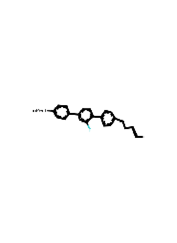 C/C=C/CCc1ccc(-c2ccc(-c3ccc(CCCCC)cc3)cc2F)cc1